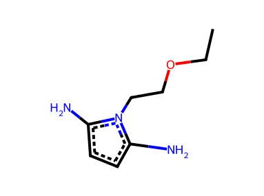 CCOCCn1c(N)ccc1N